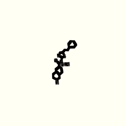 Cl.O=C(Nc1ncc(CCc2ccccc2)s1)c1ccc2c(c1)CCNC2